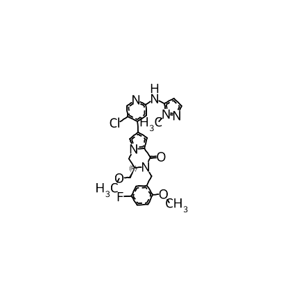 COC[C@H]1Cn2cc(-c3cc(Nc4ccnn4C)ncc3Cl)cc2C(=O)N1Cc1cc(F)ccc1OC